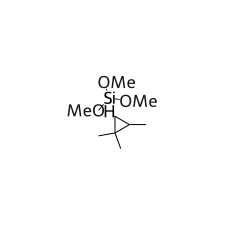 CC1CC1(C)C.CO[SiH](OC)OC